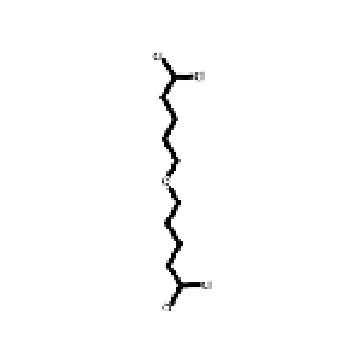 ClC(Cl)CCCCOCCCCC(Cl)Cl